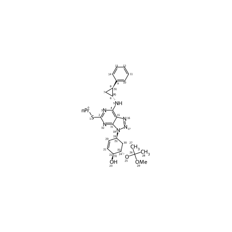 CCCSc1nc(N[C@@H]2C[C@H]2c2ccccc2)c2nnn([C@@H]3C=C[C@H](O)[C@@H](OC(C)(C)OC)C3)c2n1